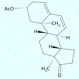 CC(=O)O[C@@H]1CC=C2C=C[C@@H]3[C@H](CC[C@]4(C)C(=O)CC[C@@H]34)[C@@]2(C)C1